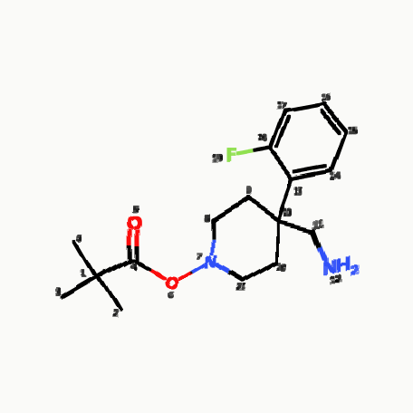 CC(C)(C)C(=O)ON1CCC(CN)(c2ccccc2F)CC1